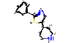 c1ccc(-c2ncc(C3CCNCC3)s2)cc1